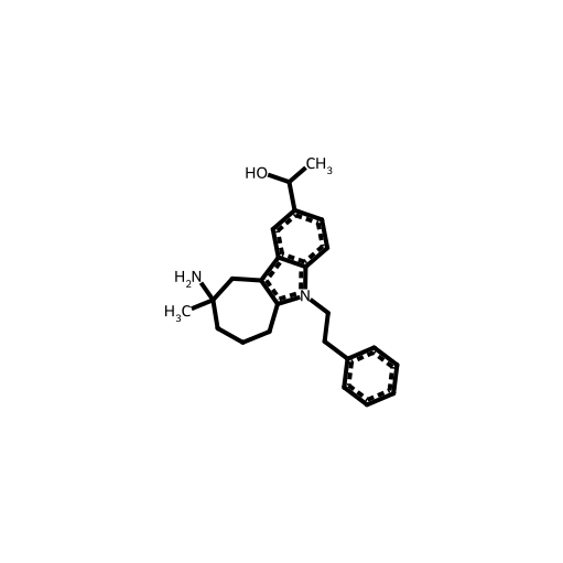 CC(O)c1ccc2c(c1)c1c(n2CCc2ccccc2)CCCC(C)(N)C1